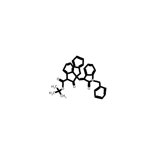 CC(C)(C)OC(=O)C1C(=O)C(/C=C2/C(=O)N(Cc3ccccc3)c3ccccc32)(Cc2ccccc2)c2ccccc21